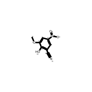 COc1cc([N+](=O)[O-])cc(C#N)c1O